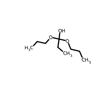 CCCOC(O)(CC)OCCC